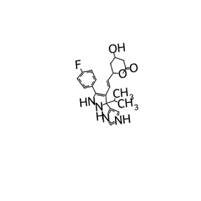 CC(C)C1(c2c[nH]cn2)NNC(c2ccc(F)cc2)=C1C=CC1CC(O)CC(=O)O1